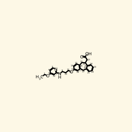 CCOc1ccnc(NCCCOc2ccc3c(c2)Cc2ccccc2C(CC(=O)O)C3)c1